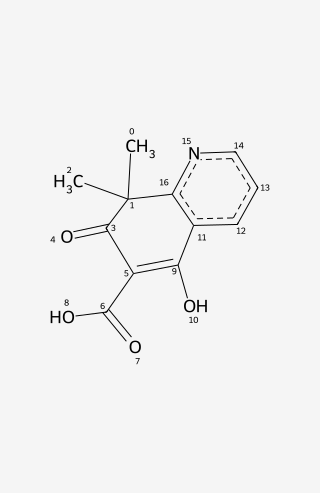 CC1(C)C(=O)C(C(=O)O)=C(O)c2cccnc21